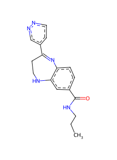 CCCNC(=O)c1ccc2c(c1)NCCC(c1ccnnc1)=N2